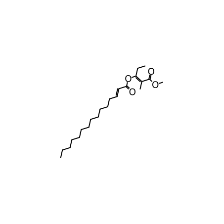 CCCCCCCCCCCCC=CC(=O)OC(CC)=C(C)C(=O)OC